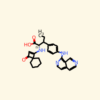 CCC(c1ccc(Nc2nccc3ccncc23)cc1)[C@H](NC1=CC(=O)C12CCCCC2)C(=O)O